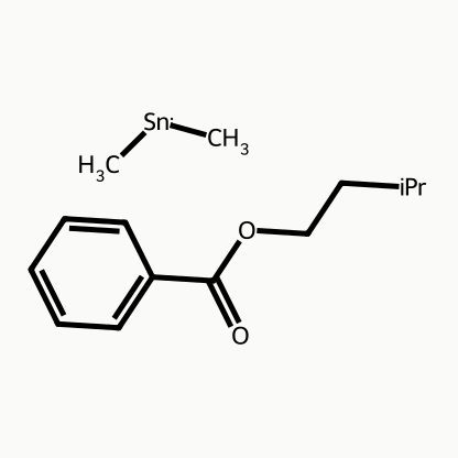 CC(C)CCOC(=O)c1ccccc1.[CH3][Sn][CH3]